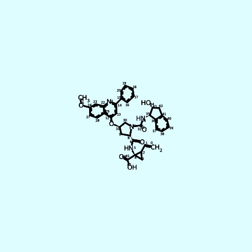 C=CC1C[C@]1(NC(=O)[C@@H]1C[C@@H](Oc2cc(-c3ccccc3)nc3cc(OC)ccc23)CN1C(=O)N[C@H]1c2ccccc2C[C@H]1O)C(=O)O